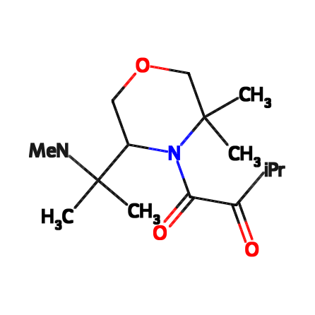 CNC(C)(C)C1COCC(C)(C)N1C(=O)C(=O)C(C)C